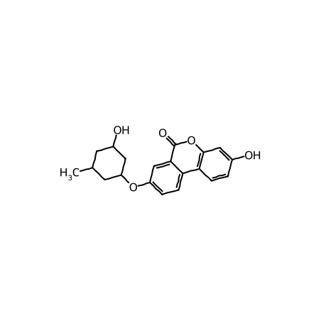 CC1CC(O)CC(Oc2ccc3c(c2)c(=O)oc2cc(O)ccc23)C1